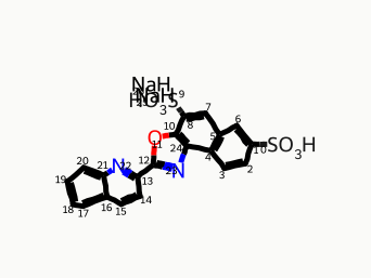 O=S(=O)(O)c1ccc2c(c1)cc(S(=O)(=O)O)c1oc(-c3ccc4ccccc4n3)nc12.[NaH].[NaH]